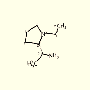 CCN1CCC[C@H]1C(C)N